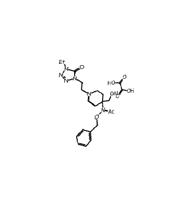 CCn1nnn(CCN2CCC(COC)(N(OCc3ccccc3)C(C)=O)CC2)c1=O.O=C(O)C(=O)O